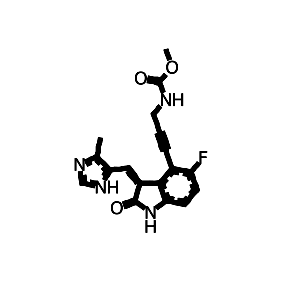 COC(=O)NCC#Cc1c(F)ccc2c1C(=Cc1[nH]cnc1C)C(=O)N2